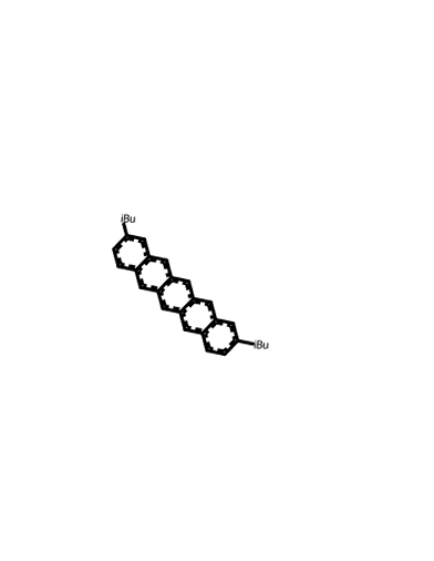 CCC(C)c1ccc2cc3cc4cc5ccc(C(C)CC)cc5cc4cc3cc2c1